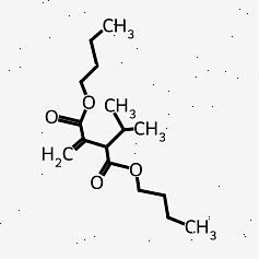 C=C(C(=O)OCCCC)C(C(=O)OCCCC)C(C)C